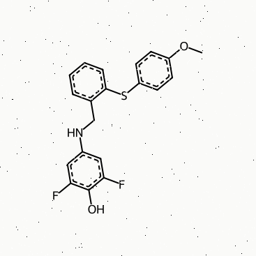 COc1ccc(Sc2ccccc2CNc2cc(F)c(O)c(F)c2)cc1